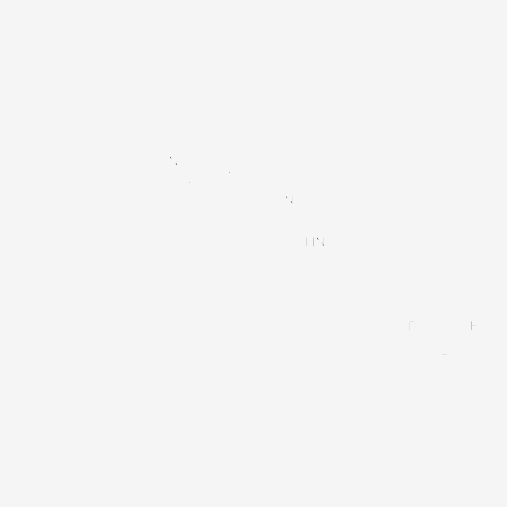 CC(C)c1ccc(NC(=O)C2(C)CCN(C(=O)Nc3ccc(CC(F)(F)F)cc3)CC2)cc1